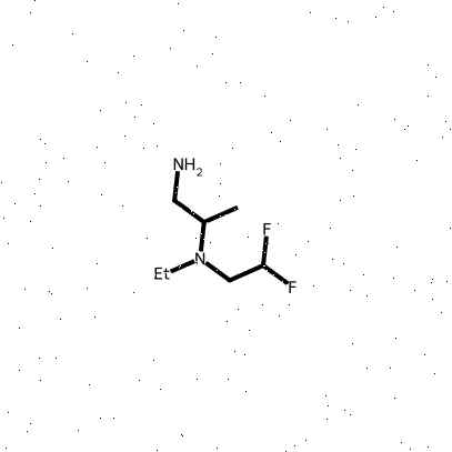 CCN(CC(F)F)C(C)CN